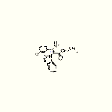 CCOC(=O)/C(=C(\N)c1cccc(Cl)c1)n1nnc2ccccc21